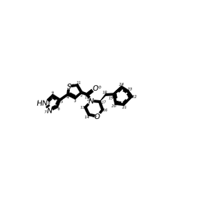 O=C(C1C=C(c2cn[nH]c2)SC1)N1CCOC[C@@H]1Cc1ccccc1